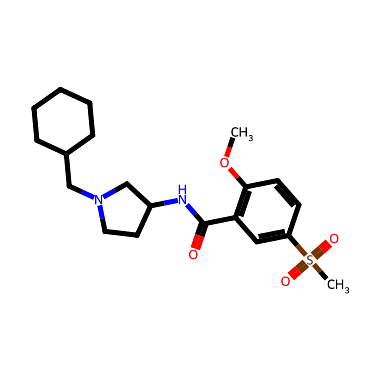 COc1ccc(S(C)(=O)=O)cc1C(=O)NC1CCN(CC2CCCCC2)C1